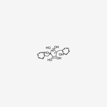 O[C@@H]1[C@@H](O)[C@@](O)(Cc2ccccc2)[C@@H](O)[C@@H](O)[C@]1(O)Cc1ccccc1